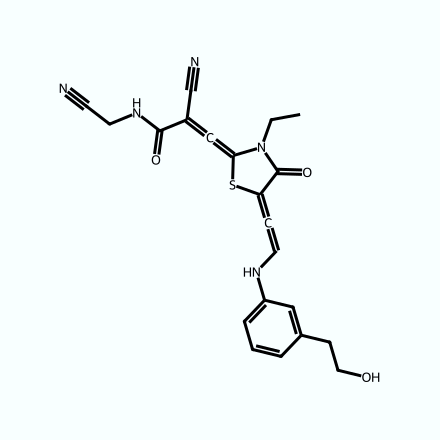 CCn1c(=C=C(C#N)C(=O)NCC#N)sc(=C=CNc2cccc(CCO)c2)c1=O